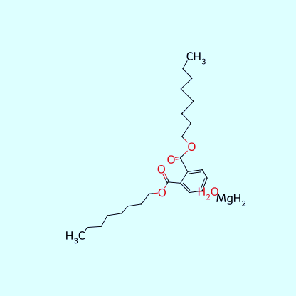 CCCCCCCCOC(=O)c1ccccc1C(=O)OCCCCCCCC.O.[MgH2]